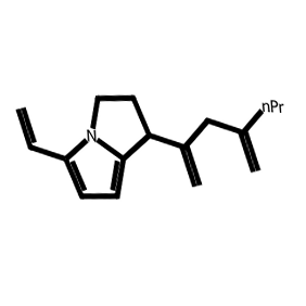 C=Cc1ccc2n1CCC2C(=C)CC(=C)CCC